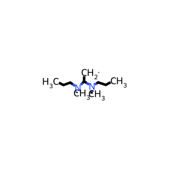 [CH2]C(N(C)CCC)N(C)CCC